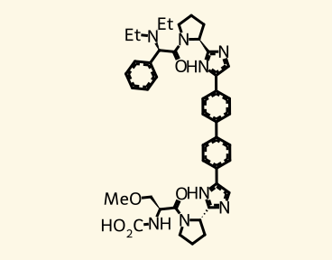 CCN(CC)[C@@H](C(=O)N1CCC[C@H]1c1ncc(-c2ccc(-c3ccc(-c4cnc([C@@H]5CCCN5C(=O)[C@H](COC)NC(=O)O)[nH]4)cc3)cc2)[nH]1)c1ccccc1